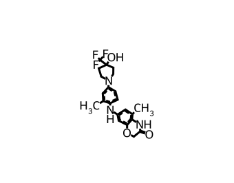 Cc1cc(N2CCC(O)(C(F)(F)F)CC2)ccc1Nc1cc(C)c2c(c1)OCC(=O)N2